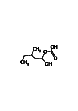 CCC(C)CC(O)OC(=O)O